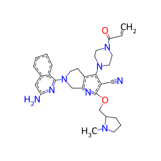 C=CC(=O)N1CCN(c2c(C#N)c(OCC3CCCN3C)nc3c2CCN(c2nc(N)cc4ccccc24)C3)CC1